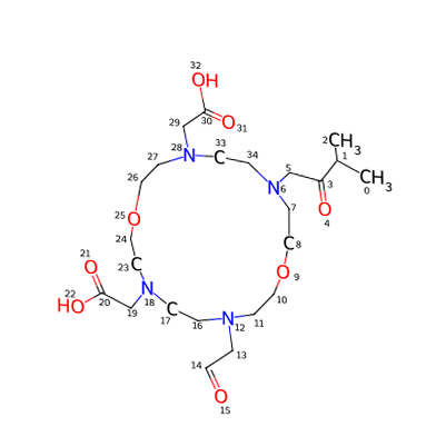 CC(C)C(=O)CN1CCOCCN(CC=O)CCN(CC(=O)O)CCOCCN(CC(=O)O)CC1